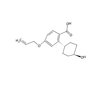 C=CCOc1ccc(C(=O)O)c([C@H]2CC[C@H](O)CC2)c1